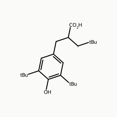 [CH2]C([CH2])([CH2])[CH]C(Cc1cc(C(C)(C)C)c(O)c(C(C)(C)C)c1)C(=O)O